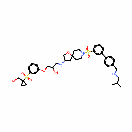 CC(C)CNCc1ccc(-c2cccc(S(=O)(=O)N3CCC4(CC3)C[C@@H](NCC(O)COc3cccc(S(=O)(=O)C5(CO)CC5)c3)CO4)c2)cc1